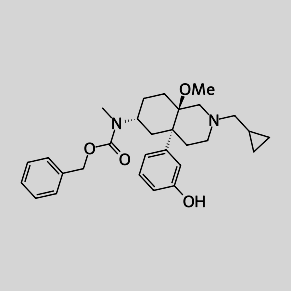 CO[C@]12CC[C@@H](N(C)C(=O)OCc3ccccc3)C[C@]1(c1cccc(O)c1)CCN(CC1CC1)C2